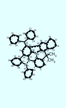 CC1(C)c2cccc3c2-n2c4c1c1ccccc1cc4c1c(C(c4ccccc4)c4ccccc4)cc4c(c12)B3N(c1ccccc1)c1ccccc1-4